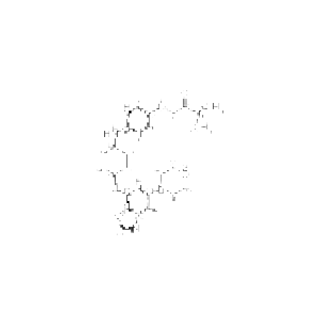 CN(C)C(=O)COc1cnc(NC2CCC(Oc3nc(N4CCOCC4)cc4ncnn34)CC2)nc1